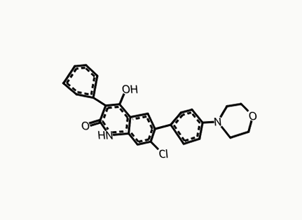 O=c1[nH]c2cc(Cl)c(-c3ccc(N4CCOCC4)cc3)cc2c(O)c1-c1ccccc1